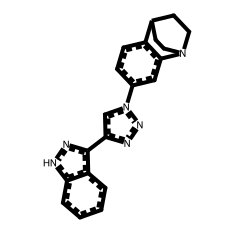 c1ccc2c(-c3cn(-c4ccc5c(c4)N4CCC5CC4)nn3)n[nH]c2c1